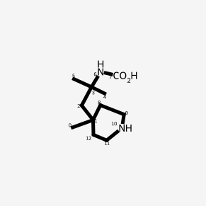 CC1(CC(C)(C)NC(=O)O)CCNCC1